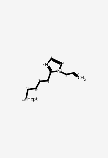 C=CCn1ccnc1CCCCCCCCCCC